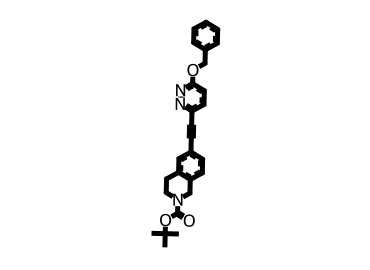 CC(C)(C)OC(=O)N1CCc2cc(C#Cc3ccc(OCc4ccccc4)nn3)ccc2C1